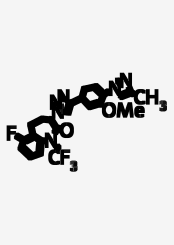 COC1=CC(c2cn(C3CCc4c(F)cccc4N(CC(F)(F)F)C3=O)nn2)CC=C1n1cnc(C)c1